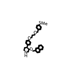 CSc1ccc(COCCCOc2ccc(C3CCNCC3OCc3ccc4ccccc4c3)cc2)cc1